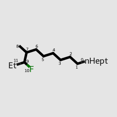 CCCCCCCCCCCCCC(C)C(F)CC